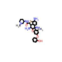 Cc1cc(Oc2ccccc2O)ccc1C1(N)C(=O)C(N)C2c3c1ccc(N)c3SC2C(=O)NC1CCCN(C)C1